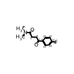 CN(C)C(=O)CCC(=O)c1ccc(F)cc1